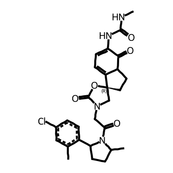 CNC(=O)NC1=CC=C2C(CC[C@]23CN(CC(=O)N2C(C)CCC2c2ccc(Cl)cc2C)C(=O)O3)C1=O